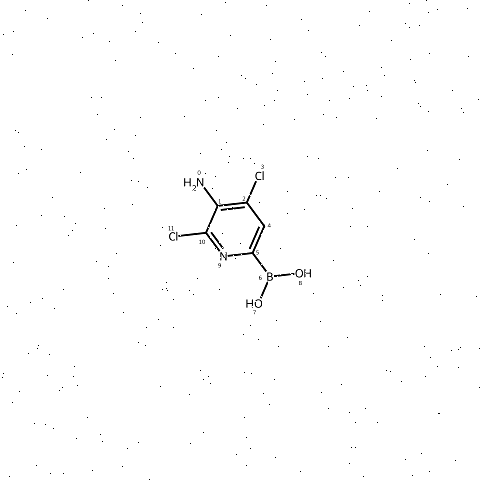 Nc1c(Cl)cc(B(O)O)nc1Cl